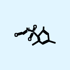 Cc1cc(C)c(S(=O)(=O)N=C=O)c(C)c1